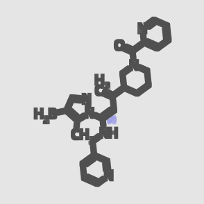 Bc1cnn(/C(=C\C(=C)C2CCCN(C(=O)c3ccccn3)C2)NCc2cccnc2)c1C